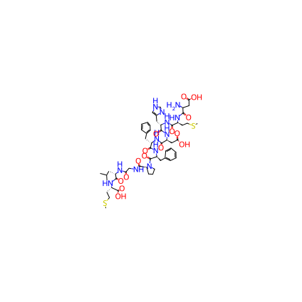 CSCC[C@H](NC(=O)[C@H](CC(C)C)NC(=O)CNC(=O)[C@@H]1CCCN1C(=O)[C@H](Cc1ccccc1)NC(=O)[C@H](Cc1ccccc1)NC(=O)[C@H](CC(=O)O)NC(=O)[C@H](Cc1c[nH]cn1)NC(=O)[C@H](CCSC)NC(=O)[C@@H](N)CC(=O)O)C(=O)O